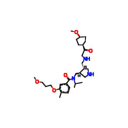 COCCCOc1cc(C(=O)N(C[C@@H]2CNC[C@H]2CNCC(=O)[C@H]2CC[C@@H](OC)CC2)C(C)C)ccc1C